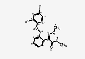 CNC(=O)C(=NOC)c1ccccc1COc1ccc(F)cc1F